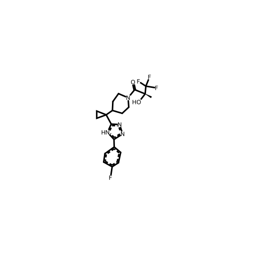 C[C@@](O)(C(=O)N1CCC(C2(c3nnc(-c4ccc(F)cc4)[nH]3)CC2)CC1)C(F)(F)F